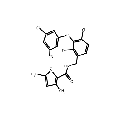 Cc1cc(C)c(C(=O)NCc2ccc(Cl)c(Oc3cc(Cl)cc(C#N)c3)c2F)[nH]1